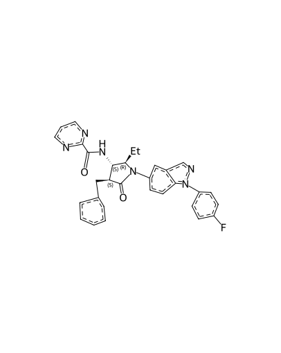 CC[C@@H]1[C@@H](NC(=O)c2ncccn2)[C@H](Cc2ccccc2)C(=O)N1c1ccc2c(cnn2-c2ccc(F)cc2)c1